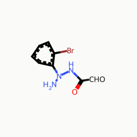 NN(NC(=O)C=O)c1ccccc1Br